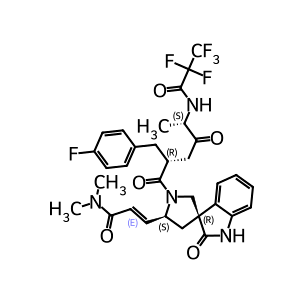 C[C@H](NC(=O)C(F)(F)C(F)(F)F)C(=O)C[C@@H](Cc1ccc(F)cc1)C(=O)N1C[C@]2(C[C@H]1/C=C/C(=O)N(C)C)C(=O)Nc1ccccc12